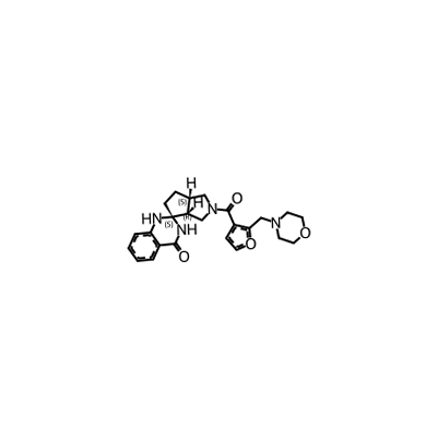 O=C1N[C@]2(CC[C@@H]3CN(C(=O)c4ccoc4CN4CCOCC4)C[C@@H]32)Nc2ccccc21